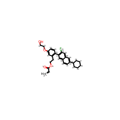 C=CC(=O)OCCc1cc(OCCO)ccc1-c1cc2ccc(C3CCCCC3)cc2cc1F